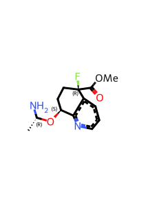 COC(=O)[C@@]1(F)CC[C@H](O[C@H](C)N)c2ncccc21